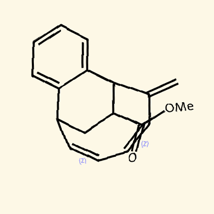 C=C1/C=C\C=C/C2CC(C(=O)OC)C1c1ccccc12